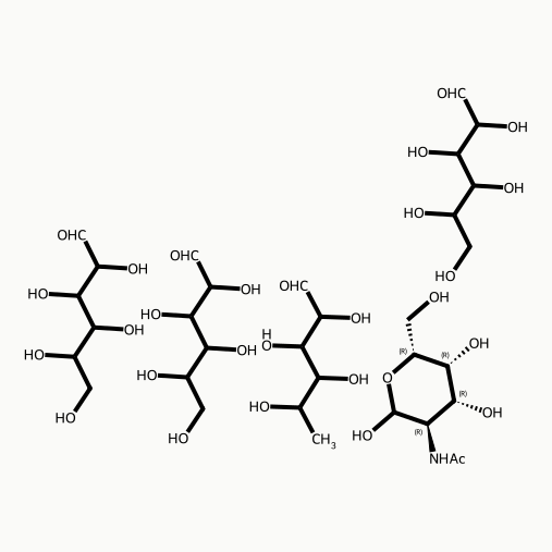 CC(=O)N[C@H]1C(O)O[C@H](CO)[C@H](O)[C@@H]1O.CC(O)C(O)C(O)C(O)C=O.O=CC(O)C(O)C(O)C(O)CO.O=CC(O)C(O)C(O)C(O)CO.O=CC(O)C(O)C(O)C(O)CO